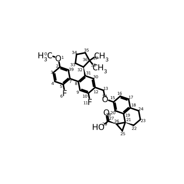 COc1ccc(F)c(-c2cc(F)c(COc3ccc4c(c3)[C@]3(CCC4)C[C@H]3C(=O)O)cc2[C@H]2CCCC2(C)C)c1